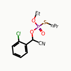 CCCSP(=O)(OCC)OC(C#N)c1ccccc1Cl